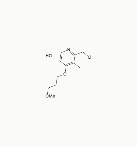 COCCCOc1ccnc(CCl)c1C.Cl